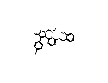 CCOCn1oc(=O)c(-c2ccc(F)cc2)c1-c1ccnc(NCc2ccccc2O)n1